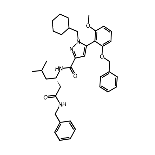 COc1cccc(OCc2ccccc2)c1-c1cc(C(=O)N[C@H](CC(=O)NCc2ccccc2)CC(C)C)nn1CC1CCCCC1